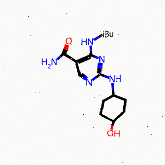 CCC(C)Nc1nc(NC2CCC(O)CC2)ncc1C(N)=O